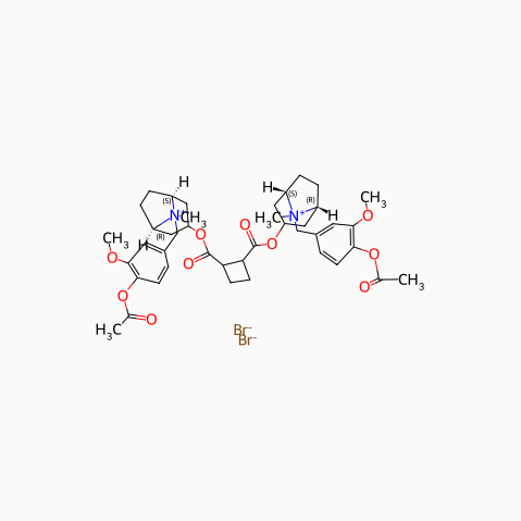 COc1cc(C[N+]2(C)[C@@H]3CC[C@H]2CC(OC(=O)C2CCC2C(=O)OC2C[C@H]4CC[C@@H](C2)[N+]4(C)Cc2ccc(OC(C)=O)c(OC)c2)C3)ccc1OC(C)=O.[Br-].[Br-]